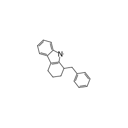 c1ccc(CC2CCCC3=C2[N]c2ccccc23)cc1